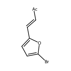 CC(=O)/C=C/c1ccc(Br)o1